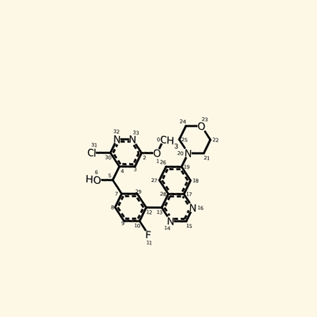 COc1cc(C(O)c2ccc(F)c(-c3ncnc4cc(N5CCOCC5)ccc34)c2)c(Cl)nn1